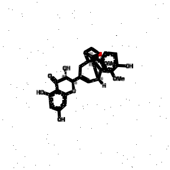 COc1cc([C@H]2C3CO[C@@]4(OC)C(=O)[C@@H]2C=C([C@H]2Oc5cc(O)cc(O)c5C(=O)[C@@H]2O)CC34)ccc1O